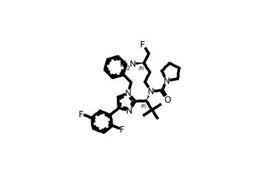 CC(C)(C)[C@H](c1nc(-c2cc(F)ccc2F)cn1Cc1ccccc1)N(CC[C@@H](N)CF)C(=O)N1CCCC1